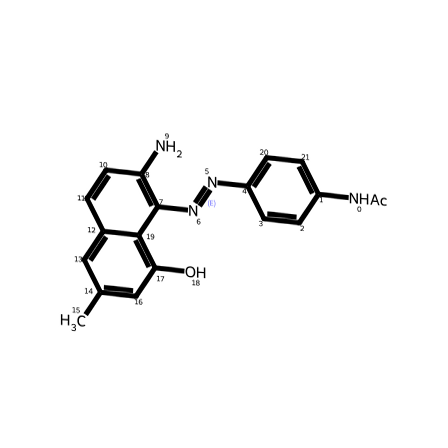 CC(=O)Nc1ccc(/N=N/c2c(N)ccc3cc(C)cc(O)c23)cc1